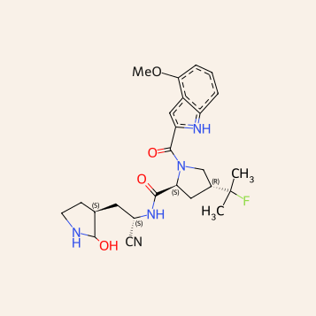 COc1cccc2[nH]c(C(=O)N3C[C@H](C(C)(C)F)C[C@H]3C(=O)N[C@H](C#N)C[C@@H]3CCNC3O)cc12